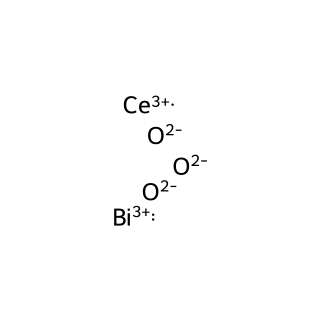 [Bi+3].[Ce+3].[O-2].[O-2].[O-2]